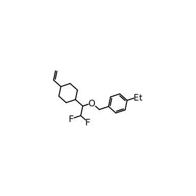 C=CC1CCC(C(OCc2ccc(CC)cc2)C(F)F)CC1